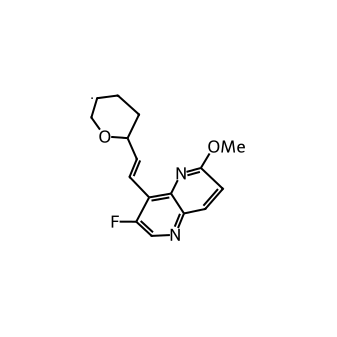 COc1ccc2ncc(F)c(C=CC3CC[CH]CO3)c2n1